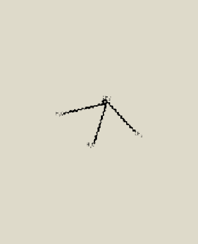 [CH2]c1cc(CCCCCCCCCCCCCCCCCCCC)c(CCCCCCCCCCCCCCCCCCCC)c(CCCCCCCCCCCCCCCCCCCC)c1